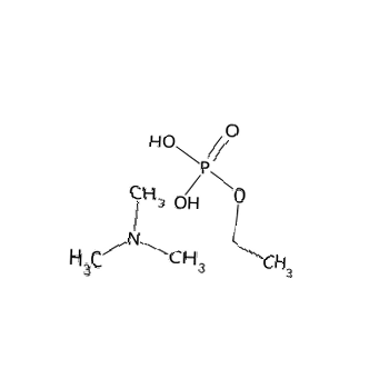 CCOP(=O)(O)O.CN(C)C